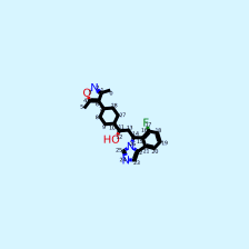 Cc1noc(C)c1C1CCC(C(O)CC2c3c(F)cccc3-c3cncn32)CC1